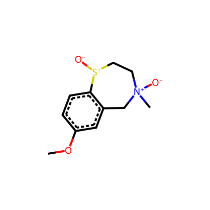 COc1ccc2c(c1)C[N+](C)([O-])CC[S+]2[O-]